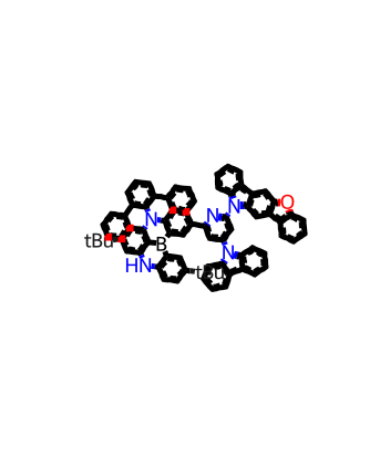 CC(C)(C)c1ccc2c(c1)B1c3cc(-c4cc(-n5c6ccccc6c6ccccc65)cc(-n5c6ccccc6c6cc7oc8ccccc8c7cc65)n4)ccc3N(c3c(-c4ccccc4)cccc3-c3ccccc3)c3cc(C(C)(C)C)cc(c31)N2